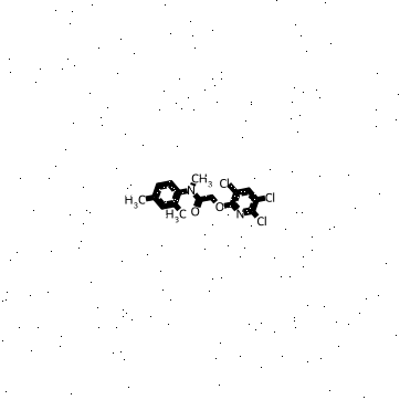 Cc1ccc(N(C)C(=O)COc2nc(Cl)c(Cl)cc2Cl)c(C)c1